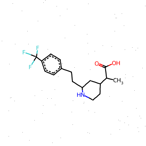 CC(C(=O)O)C1CCNC(CCc2ccc(C(F)(F)F)cc2)C1